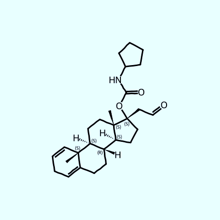 C[C@]12C=CCC=C1CC[C@@H]1[C@@H]2CC[C@@]2(C)[C@H]1CC[C@@]2(CC=O)OC(=O)NC1CCCC1